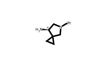 CC(C)N1C[C@H](N)C2(CC2)C1